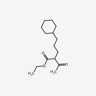 CCOC(=O)C(CCCC1CCCCC1)C(C)=O